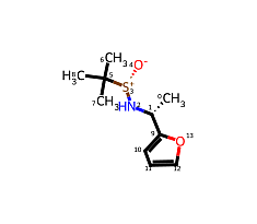 C[C@@H](N[S@@+]([O-])C(C)(C)C)c1ccco1